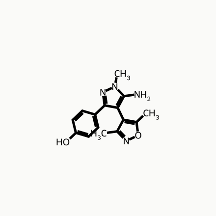 Cc1noc(C)c1-c1c(-c2ccc(O)cc2)nn(C)c1N